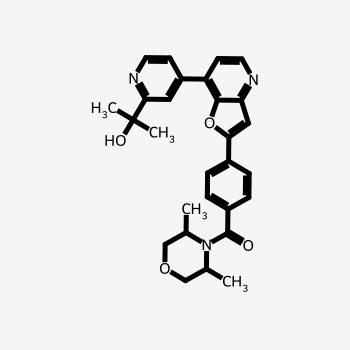 CC1COCC(C)N1C(=O)c1ccc(-c2cc3nccc(-c4ccnc(C(C)(C)O)c4)c3o2)cc1